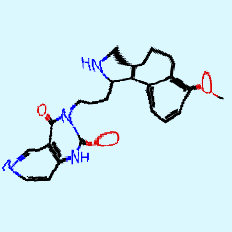 COc1cccc2c1CCC1CNC(CCn3c(=O)[nH]c4ccncc4c3=O)C21